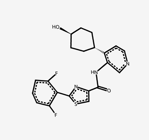 O=C(Nc1cnccc1[C@H]1CC[C@H](O)CC1)c1csc(-c2c(F)cccc2F)n1